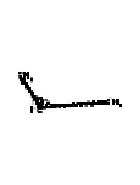 CCCCCCCCCCCCCCCCCCCCCCCCCCC(O)(CCCCCCCCCCCCCC)C(=O)O